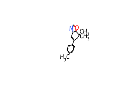 Cc1ccc(C2=Cc3ncoc3C(C)(C)C2)cc1